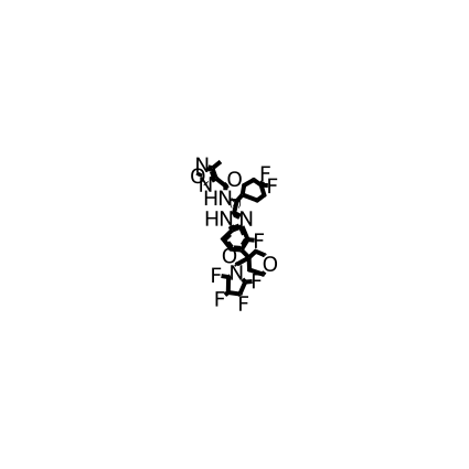 Cc1nonc1C(=O)N[C@H](c1nc2c(F)c(C3(C(=O)N4C(F)C(F)C(F)C4F)CCOCC3)ccc2[nH]1)C1CCC(F)(F)CC1